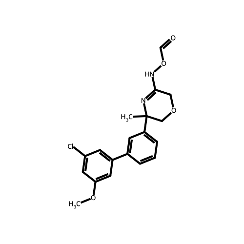 COc1cc(Cl)cc(-c2cccc(C3(C)COCC(NOC=O)=N3)c2)c1